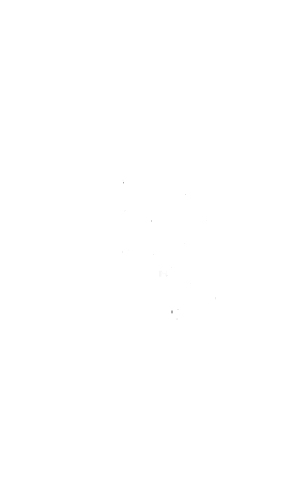 CCCC(C)(C)NS(=O)(=O)c1cc(Cl)ccc1Cl